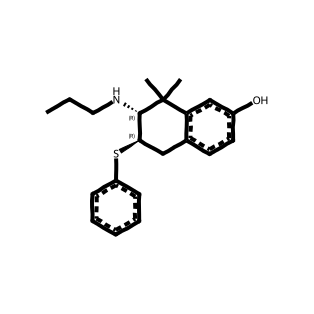 CCCN[C@H]1[C@H](Sc2ccccc2)Cc2ccc(O)cc2C1(C)C